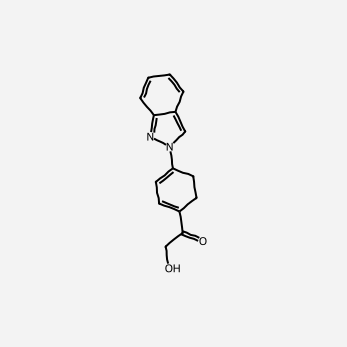 O=C(CO)C1=CC=C(n2cc3ccccc3n2)CC1